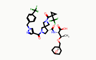 C[C@@H](OCC12CCC(CC1)OC2)[C@H](NC(=O)[C@@H]1CN(C(=O)c2cnn(Cc3ccc(C(F)(F)F)cc3)c2)CC12CN(C(=O)C1(C(F)(F)F)CC1)C2)C(=O)O